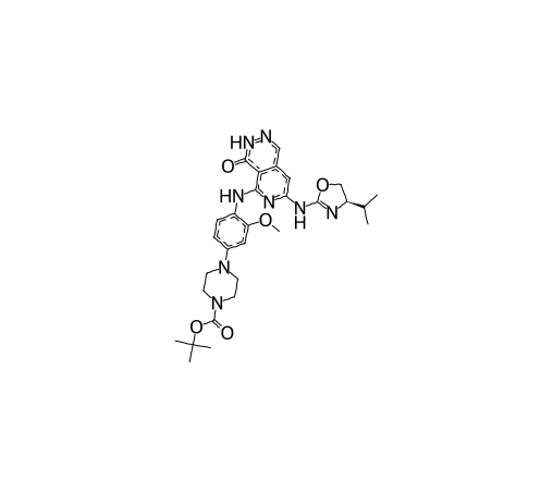 COc1cc(N2CCN(C(=O)OC(C)(C)C)CC2)ccc1Nc1nc(NC2=N[C@H](C(C)C)CO2)cc2cn[nH]c(=O)c12